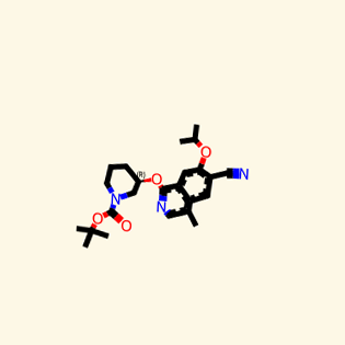 Cc1cnc(O[C@@H]2CCCN(C(=O)OC(C)(C)C)C2)c2cc(OC(C)C)c(C#N)cc12